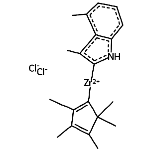 CC1=C(C)C(C)(C)[C]([Zr+2][c]2[nH]c3cccc(C)c3c2C)=C1C.[Cl-].[Cl-]